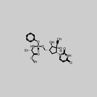 C#C[C@@]1(O)[C@H](O)[C@@H](COP(=S)(N[C@@H](CC)C(=O)OC(C)C)Oc2ccccc2)C[C@H]1n1ccc(=O)[nH]c1=O